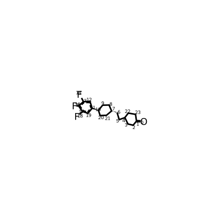 O=C1CCC(CC[C@H]2CC[C@H](c3cc(F)c(F)c(F)c3)CC2)CC1